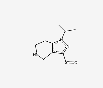 CC(C)n1nc([S+]=O)c2c1CCNC2